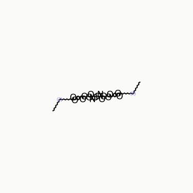 CCCCCCCC/C=C\CCCCCCCC(=O)Oc1ccc(CC(=O)OCCOC(=O)C(CSSCC(C(=O)OCCOC(=O)Cc2ccc(OC(=O)CCCCCCC/C=C\CCCCCCCC)cc2)N(C)C)N(C)C)cc1